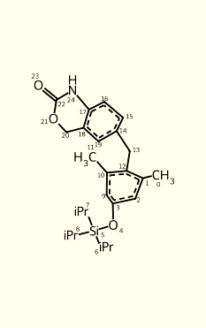 Cc1cc(O[Si](C(C)C)(C(C)C)C(C)C)cc(C)c1Cc1ccc2c(c1)COC(=O)N2